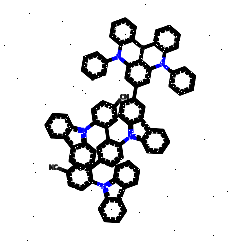 N#Cc1ccc(-n2c3ccccc3c3ccccc32)c(-c2ccc(-n3c4ccccc4c4cc(-c5cc6c7c(c5)N(c5ccccc5)c5ccccc5B7c5ccccc5N6c5ccccc5)ccc43)c(-c3cc(C#N)ccc3-n3c4ccccc4c4ccccc43)c2)c1